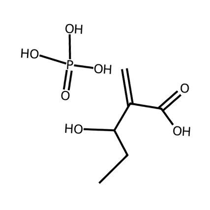 C=C(C(=O)O)C(O)CC.O=P(O)(O)O